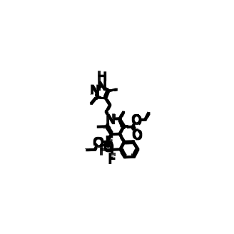 CCOC(=O)C1=C(C)N(CCc2c(C)n[nH]c2C)C(C)=C(C(=O)OCC)C1c1ccccc1C(F)(F)F